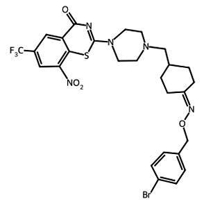 O=c1nc(N2CCN(CC3CCC(=NOCc4ccc(Br)cc4)CC3)CC2)sc2c([N+](=O)[O-])cc(C(F)(F)F)cc12